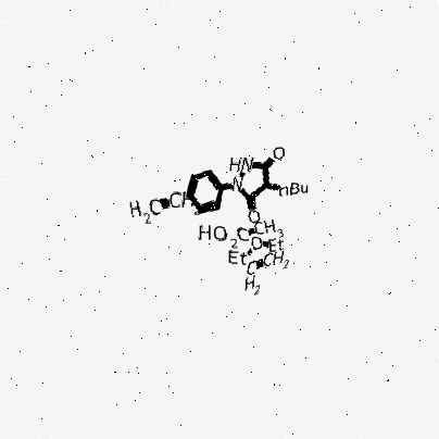 C=C.C=C.CC(=O)O.CCCCC1C(=O)NN(c2ccccc2)C1=O.CCOCC